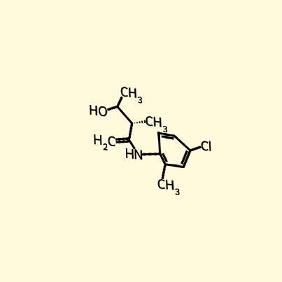 C=C(Nc1ccc(Cl)cc1C)[C@@H](C)C(C)O